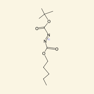 CCCCCOC(=O)/N=N/C(=O)OC(C)(C)C